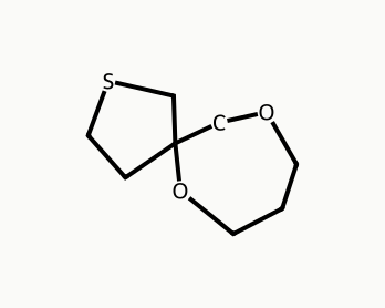 C1COCC2(CCSC2)OC1